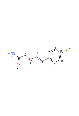 NC(=O)CO/N=C/c1ccc(F)cc1